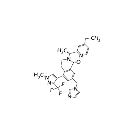 CCc1ccnc([C@H](C)N2CCc3c(cc(Cn4ccnc4)cc3-c3cn(C)nc3C(F)(F)F)C2=O)c1